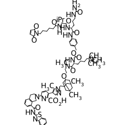 Cc1c(-c2ccc(N3CCc4cccc(C(=O)Nc5nc6ccccc6s5)c4C3)nc2C(=O)O)cnn1CC12CC3(C)CC(C)(C1)CC(OCCN(C)C(=O)[C@H](CCCC[N+](C)(C)C)NC(=O)OCc1ccc(NC(=O)[C@H](CCCNC(N)=O)NC(=O)[C@@H](NC(=O)CCCCCN4C(=O)C=CC4=O)C(C)C)cc1)(C3)C2